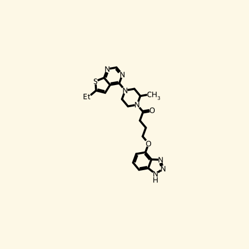 CCc1cc2c(N3CCN(C(=O)CCCOc4cccc5[nH]nnc45)C(C)C3)ncnc2s1